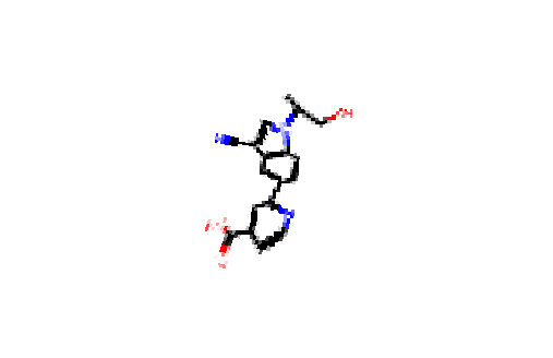 CC(CO)n1cc(C#N)c2cc(-c3cc(C(=O)O)ccn3)ccc21